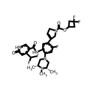 C[C@@H]1CN(c2cc(F)c(C3=CCN(C(=O)OC4CC(F)(F)C4)C3)cc2NC(=O)c2c[nH]c(=O)cc2C(F)F)C[C@H](C)N1C